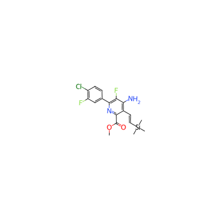 COC(=O)c1nc(-c2ccc(Cl)c(F)c2)c(F)c(N)c1C=C[Si](C)(C)C